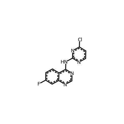 Fc1ccc2c(Nc3nccc(Cl)n3)ncnc2c1